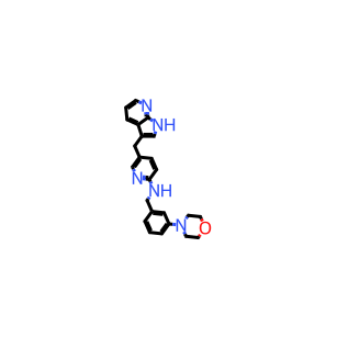 c1cc(CNc2ccc(Cc3c[nH]c4ncccc34)cn2)cc(N2CCOCC2)c1